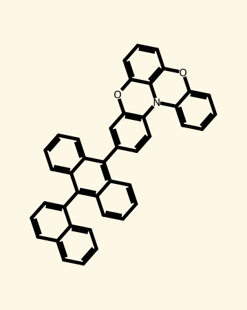 c1ccc2c(c1)Oc1cccc3c1N2c1ccc(-c2c4ccccc4c(-c4cccc5ccccc45)c4ccccc24)cc1O3